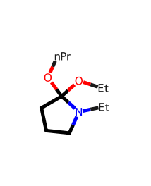 CCCOC1(OCC)CCCN1CC